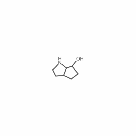 OC1CCC2CCNC12